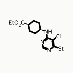 CCOC(=O)[C@H]1CC[C@@H](Nc2ncnc(CC)c2Cl)CC1